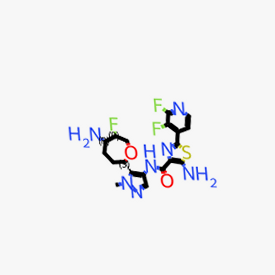 Cn1ncc(NC(=O)c2nc(-c3ccnc(F)c3F)sc2N)c1[C@@H]1CC[C@@H](N)[C@@H](F)CO1